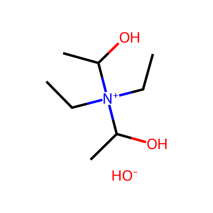 CC[N+](CC)(C(C)O)C(C)O.[OH-]